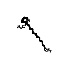 CCCCCCCCCCCCN(C)c1ccccn1